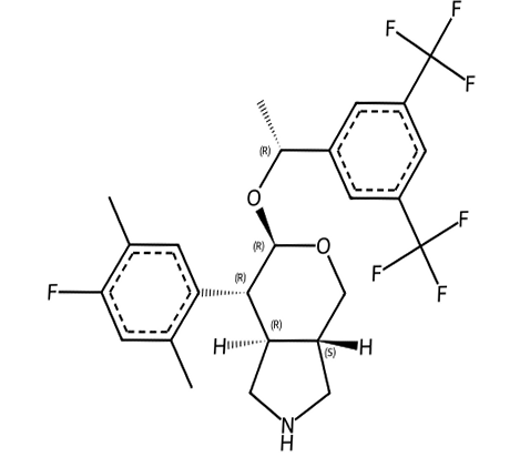 Cc1cc([C@@H]2[C@@H](O[C@H](C)c3cc(C(F)(F)F)cc(C(F)(F)F)c3)OC[C@@H]3CNC[C@H]32)c(C)cc1F